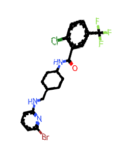 O=C(NC1CCC(CNc2cccc(Br)n2)CC1)c1cc(C(F)(F)F)ccc1Cl